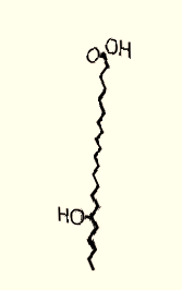 CCC=CCC(O)CCCCCCCCCCCCCCCC(=O)O